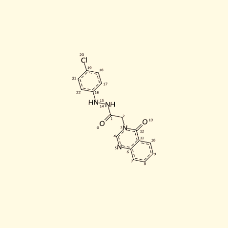 O=C(Cn1cnc2ccccc2c1=O)NNc1ccc(Cl)cc1